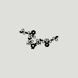 C=CC(=O)OCCOC(=O)c1ccccc1C(=O)OCC(C)OC(=O)NCC1(C)CC(NC(=O)OC(C)COC(=O)c2ccccc2C(=O)OCCOC(=O)C=C)CC(C)(C)C1